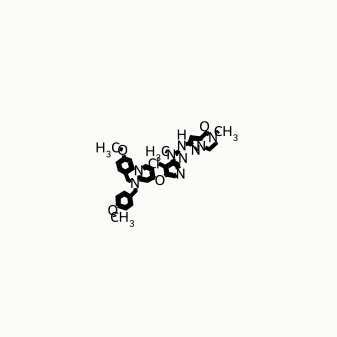 COc1ccc(CN(Cc2ccc(OC)cc2)c2cc(Oc3cnc4nc(Nc5cc6n(n5)CCN(C)C6=O)n(C)c4c3Cl)ccn2)cc1